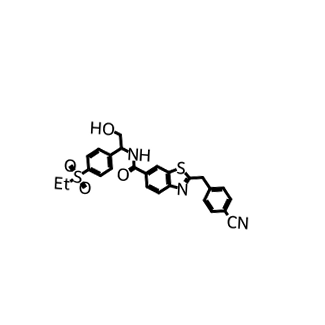 CCS(=O)(=O)c1ccc(C(CO)NC(=O)c2ccc3nc(Cc4ccc(C#N)cc4)sc3c2)cc1